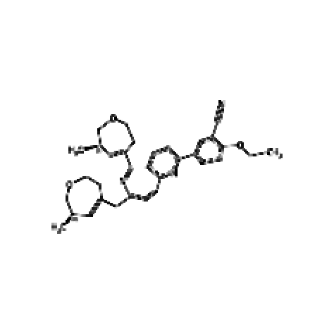 CCOc1ccc(-c2ccc3c(n2)C=C=C(CC2=C[C@@H](C)COCC2)N=C3C2=C[C@@H](C)COCC2)cc1C#N